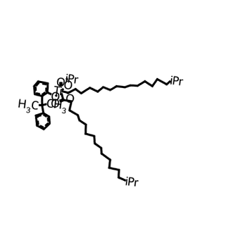 CC(C)CCCCCCCCCCCCCC[C](=O)[Ti](=[O])([O]c1ccccc1C(C)(C)c1ccccc1)([O]C(C)C)[C](=O)CCCCCCCCCCCCCCC(C)C